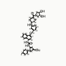 Cc1ccc(-n2nc(C(C)(C)C)cc2NC(=O)Nc2ccc(OCc3ccnc(Nc4cnc(C(=O)N5C[C@@H](O)[C@H](O)C5)cn4)c3)c3ccccc23)cc1